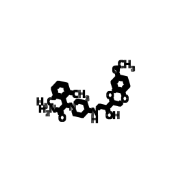 COc1ccc2c(c1)OC(C(O)CNC1CCN(C(C(N)=O)c3c(C)cccc3C)CC1)CO2